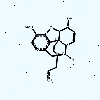 C=CCN1CC[C@@]23c4c5ccc(OC)c4OC2C(O)C=CC3[C@@H]1C5